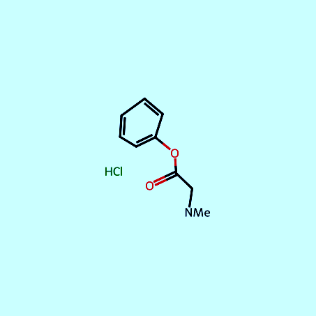 CNCC(=O)Oc1ccccc1.Cl